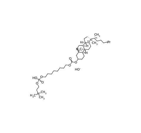 CC(C)CCC[C@@H](C)[C@H]1CC[C@H]2[C@@H]3CC=C4CC(OC(=O)OCCCCCCCCOP(=O)(O)OCC[N+](C)(C)C)CC[C@]4(C)[C@H]3CC[C@]12C.[OH-]